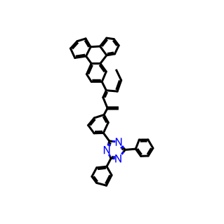 C=C(/C=C(\C=C/C)c1ccc2c3ccccc3c3ccccc3c2c1)c1cccc(-c2nc(-c3ccccc3)nc(-c3ccccc3)n2)c1